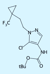 CC(C)(C)OC(=O)Nc1cnn(CCC2(C(F)(F)F)CC2)c1Cl